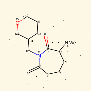 C=C1CCCC(NC)C(=O)N1CC1CCCOC1